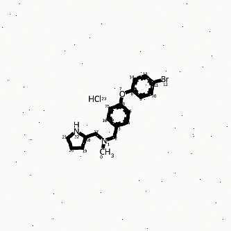 CN(Cc1ccc(Oc2ccc(Br)cc2)cc1)CC1CCCN1.Cl